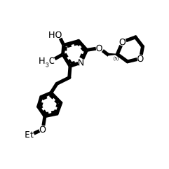 CCOc1ccc(CCc2nc(OC[C@@H]3COCCO3)cc(O)c2C)cc1